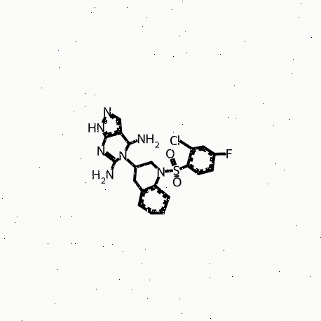 NC1=Nc2[nH]ncc2C(N)N1C1Cc2ccccc2N(S(=O)(=O)c2ccc(F)cc2Cl)C1